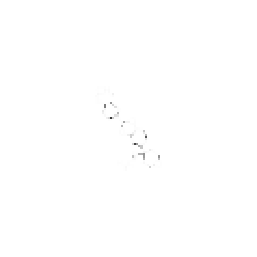 COC1(c2ccc3c(c2)OC(c2ccc(SC)cc2)O3)CCOCC1